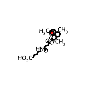 CC1CCC2C(C)[C@H](OC(=O)CCC(=O)NCCCCCC(=O)O)O[C@@H]3O[C@@]4(C)CCC1[C@@]23OO4